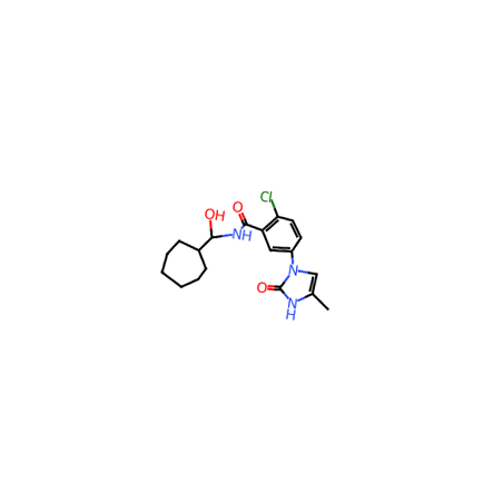 Cc1cn(-c2ccc(Cl)c(C(=O)NC(O)C3CCCCCC3)c2)c(=O)[nH]1